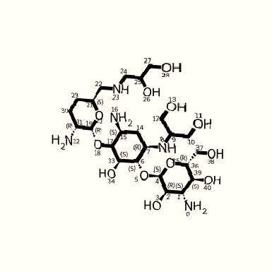 N[C@@H]1[C@@H](O)[C@@H](O[C@H]2[C@H](NC(CO)CO)C[C@H](N)C(O[C@H]3O[C@H](CNCC(O)CO)CC[C@H]3N)[C@@H]2O)O[C@H](CO)[C@H]1O